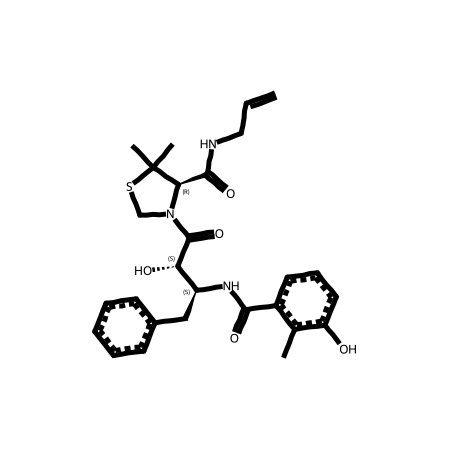 C=CCNC(=O)[C@H]1N(C(=O)[C@@H](O)[C@H](Cc2ccccc2)NC(=O)c2cccc(O)c2C)CSC1(C)C